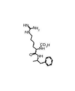 CC(Cc1ccccc1)NC(=O)C(CCCCNC(=N)N)NC(=O)O